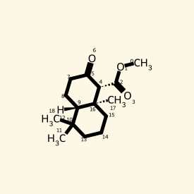 COC(=O)[C@H]1C(=O)CC[C@H]2C(C)(C)CCC[C@]12C